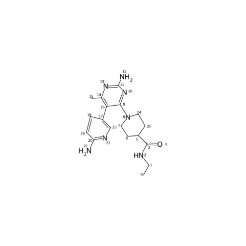 CCNC(=O)C1CCN(c2nc(N)nc(C)c2-c2ccc(N)nc2)CC1